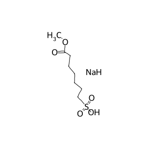 COC(=O)CCCCCCS(=O)(=O)O.[NaH]